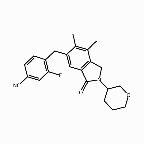 Cc1c(Cc2ccc(C#N)cc2F)cc2c(c1C)CN(C1CCCOC1)C2=O